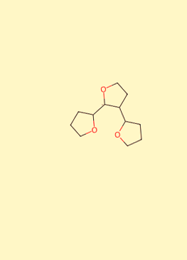 C1COC([C]2OCCC2C2CCCO2)C1